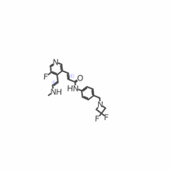 CN/C=C/c1c(F)cncc1/C=C/C(=O)Nc1ccc(CN2CC(F)(F)C2)cc1